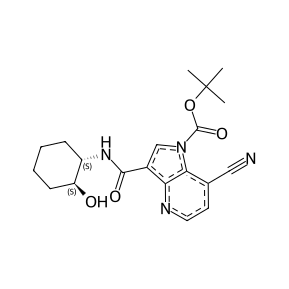 CC(C)(C)OC(=O)n1cc(C(=O)N[C@H]2CCCC[C@@H]2O)c2nccc(C#N)c21